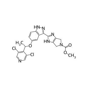 COC(=O)N1Cc2nc(-c3n[nH]c4ccc(OC(C)c5c(Cl)cncc5Cl)cc34)[nH]c2C1